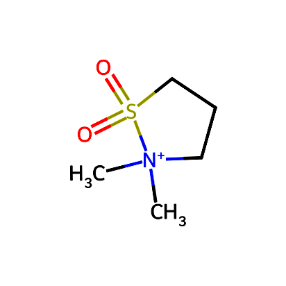 C[N+]1(C)CCCS1(=O)=O